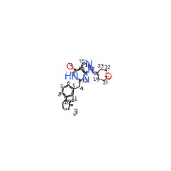 O=c1[nH]c(Cc2cccc(C(F)(F)F)c2)nc2c1cnn2C1CCOCC1